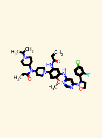 C=CC(=O)Nc1cc(Nc2cc(N3OCCC3c3ccc(Cl)cc3F)ncn2)c(OC)cc1N1CCC(N(C(=O)C=C)C2CCN(C(C)C)CC2)CC1